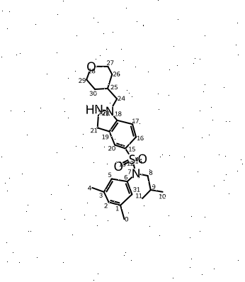 Cc1cc(C)cc(N(CC(C)C)S(=O)(=O)c2ccc3c(c2)CNN3CC2CCOCC2)c1